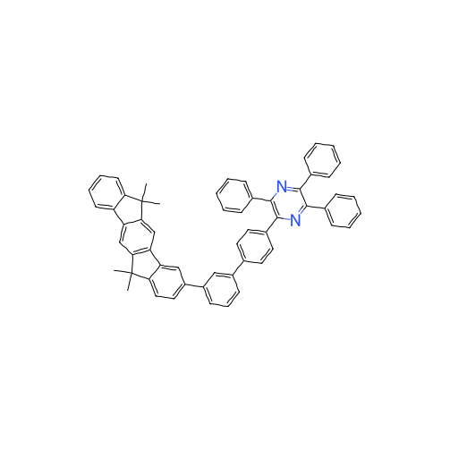 CC1(C)c2ccccc2-c2cc3c(cc21)-c1cc(-c2cccc(-c4ccc(-c5nc(-c6ccccc6)c(-c6ccccc6)nc5-c5ccccc5)cc4)c2)ccc1C3(C)C